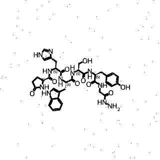 NNC(=O)CNC(=O)[C@H](Cc1ccc(O)cc1)NC(=O)[C@H](CO)NC(=O)[C@H](Cc1c[nH]c2ccccc12)NC(=O)[C@H](Cc1c[nH]cn1)NC(=O)[C@@H]1CCC(=O)N1